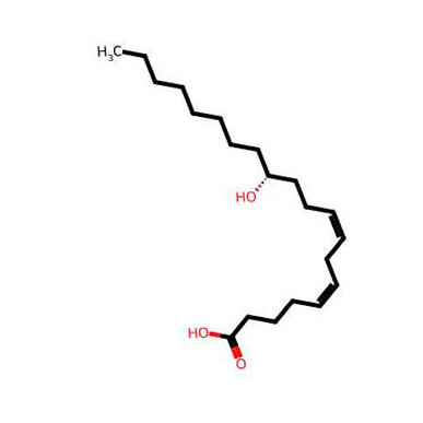 CCCCCCCC[C@@H](O)CC/C=C\C/C=C\CCCC(=O)O